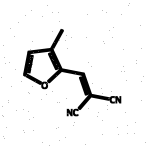 Cc1ccoc1C=C(C#N)C#N